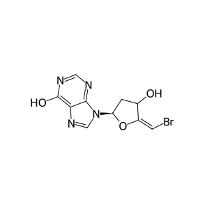 Oc1ncnc2c1ncn2[C@H]1CC(O)/C(=C\Br)O1